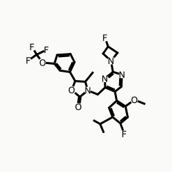 COc1cc(F)c(C(C)C)cc1-c1cnc(N2CC(F)C2)nc1CN1C(=O)OC(c2cccc(OC(F)(F)F)c2)C1C